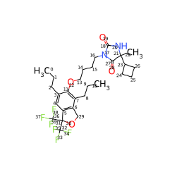 CCCc1cc2c(c(CCC)c1OCCCCN1C(=O)NC(C)(C3CCC3)C1=O)COC2(C(F)(F)F)C(F)(F)F